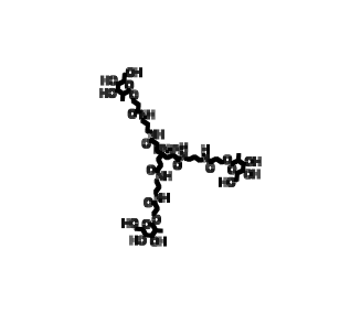 CC(C)NC(CCC(=O)NCCCNC(=O)CCOC1OC(CO)C(O)C(O)C1C)(CCC(=O)NCCCNC(=O)CCOC1OC(CO)C(O)C(O)C1C)CCC(=O)NCCCNC(=O)CCOC1OC(CO)C(O)C(O)C1C